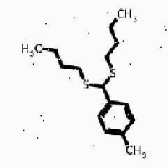 CCCCSC(SCCCC)c1ccc(C)cc1